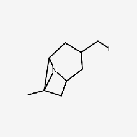 CC12CC3CC(CI)CC1N32